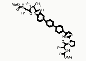 CCCN(C(=O)[C@@H](NC(=O)OC)C(C)C)[C@@H](C)c1nc2ccc(-c3ccc(-c4ccc(-c5cnc([C@@H]6CCCN6C(=O)C(NC(=O)OC)C(C)C)[nH]5)cc4)cc3)cc2[nH]1